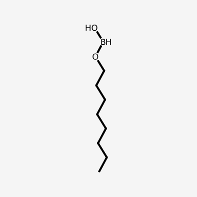 CCCCCCCCOBO